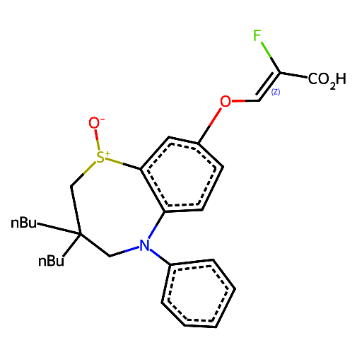 CCCCC1(CCCC)CN(c2ccccc2)c2ccc(O/C=C(\F)C(=O)O)cc2[S+]([O-])C1